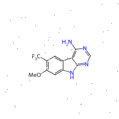 COc1cc2[nH]c3ncnc(N)c3c2cc1C(F)(F)F